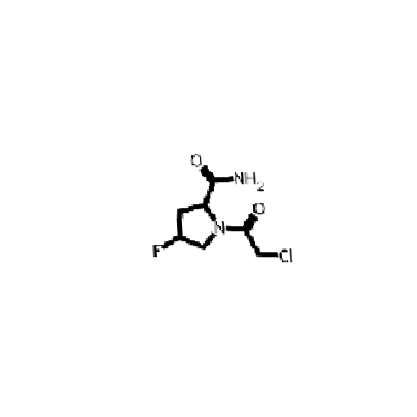 NC(=O)C1CC(F)CN1C(=O)CCl